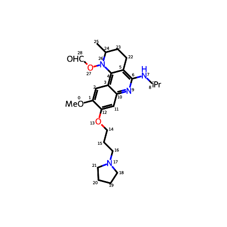 COc1cc2c3c(c(NC(C)C)nc2cc1OCCCN1CCCC1)CCC(C)N3OC=O